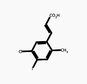 Cc1cc(I)c(Cl)cc1C=CC(=O)O